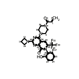 C=CC(=O)N1CCN(c2nc(N3CCC3)nc3c(=O)n(-c4c(O)cccc4F)c(C(F)(F)F)cc23)CC1